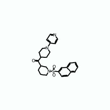 O=C(C1CCN(c2ccncc2)CC1)C1CCCN(S(=O)(=O)c2ccc3ccccc3c2)C1